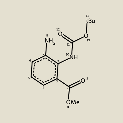 COC(=O)c1cccc(N)c1NC(=O)OC(C)(C)C